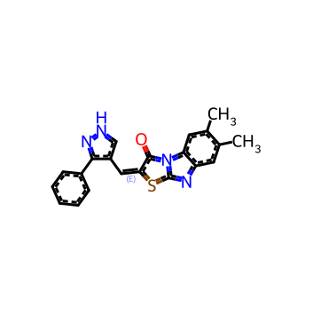 Cc1cc2nc3s/c(=C/c4c[nH]nc4-c4ccccc4)c(=O)n3c2cc1C